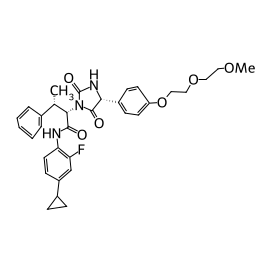 COCCOCCOc1ccc([C@H]2NC(=O)N([C@H](C(=O)Nc3ccc(C4CC4)cc3F)[C@@H](C)c3ccccc3)C2=O)cc1